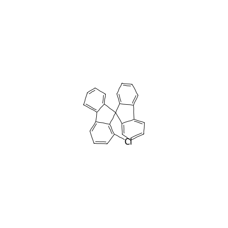 Clc1cccc2c1C1(c3ccccc3-c3ccccc31)c1ccccc1-2